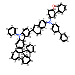 c1ccc(-c2ccc(N(c3ccc4cc(-c5ccc6c(c5)c5cc(C7(c8ccccc8)c8ccccc8-c8ccccc87)ccc5n6-c5ccccc5)ccc4c3)c3ccc4oc5ccccc5c4c3)cc2)cc1